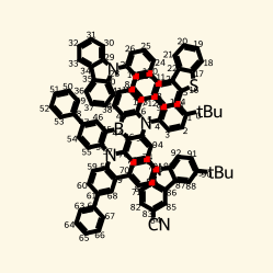 CC(C)(C)c1ccc(N2c3cc(-c4c(-c5cccc6sc7ccccc7c56)cccc4-n4c5ccccc5c5ccccc54)ccc3B3c4cc(-c5ccccc5)ccc4N(c4ccc(-c5ccccc5)cc4-c4ccccc4)c4cc(-n5c6ccc(C#N)cc6c6cc(C(C)(C)C)ccc65)cc2c43)c(-c2ccccc2)c1